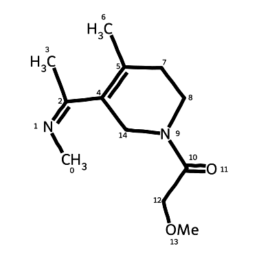 C/N=C(/C)C1=C(C)CCN(C(=O)COC)C1